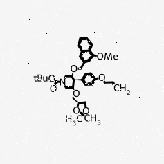 C=CCOc1ccc([C@@H]2[C@@H](OCc3cc(OC)c4ccccc4c3)CN(C(=O)OC(C)(C)C)C[C@@H]2OC[C@H]2COC(C)(C)O2)cc1